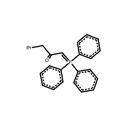 CC(C)CC(=O)C=P(c1ccccc1)(c1ccccc1)c1ccccc1